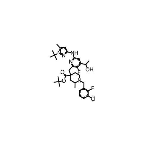 Cc1cc(Nc2cc(C(C)O)c(F)c(CC3(C(=O)OC(C)(C)C)CCN(Cc4cccc(Cl)c4F)C(C)C3)n2)nn1C(C)(C)C